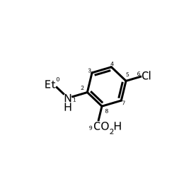 CCNc1ccc(Cl)cc1C(=O)O